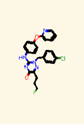 O=c1nc(Nc2ccc(Oc3ccccn3)cc2)n(Cc2ccc(Cl)cc2)nc1CCCF